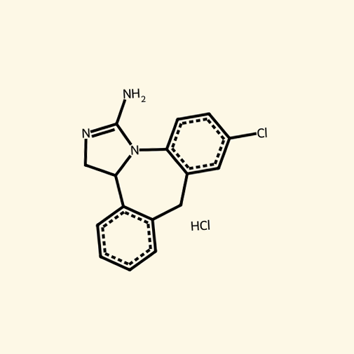 Cl.NC1=NCC2c3ccccc3Cc3cc(Cl)ccc3N12